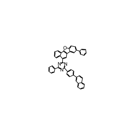 c1ccc(-c2ccc3oc4c5ccccc5c(-c5nc(-c6ccccc6)nc(-c6ccc(-c7ccc8ccccc8c7)cc6)n5)cc4c3c2)cc1